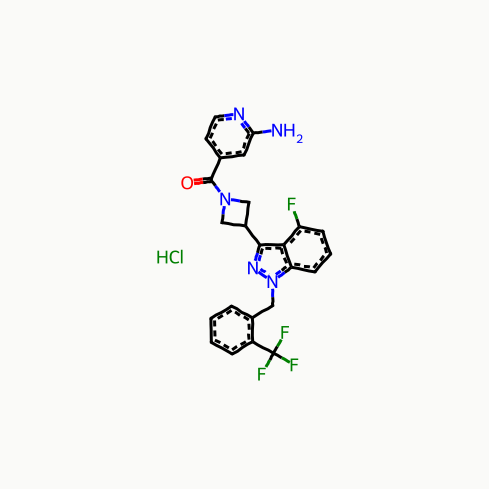 Cl.Nc1cc(C(=O)N2CC(c3nn(Cc4ccccc4C(F)(F)F)c4cccc(F)c34)C2)ccn1